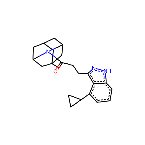 CC12CC3CC(C1)N(C(=O)CCc1n[nH]c4cccc(C5CC5)c14)C(C3)C2